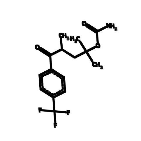 CC(CC(C)(C)OC(N)=O)C(=O)c1ccc(C(F)(F)F)cc1